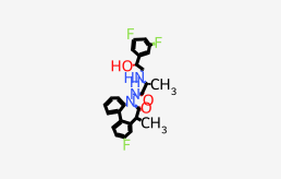 CC1C(=O)N(NC(=O)[C@H](C)NC[C@@H](O)c2cc(F)cc(F)c2)c2ccccc2-c2ccc(F)cc21